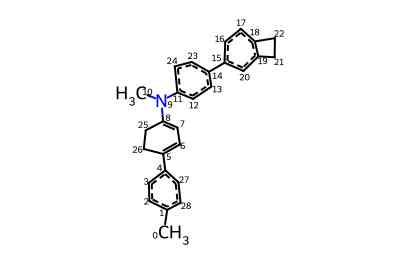 Cc1ccc(C2=CC=C(N(C)c3ccc(-c4ccc5c(c4)CC5)cc3)CC2)cc1